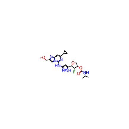 COCc1cn2c(Nc3cc([C@H]4OC[C@@H](OC(=O)NC(C)C)[C@@H]4F)[nH]n3)nc(C3CC3)cc2n1